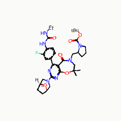 CCNC(=O)Nc1ccc(-c2nc(N3CC4CC[C@@H](C3)O4)nc3c2C(=O)N(CC2CCCN2C(=O)OC(C)(C)C)CC(C)(C)O3)cc1F